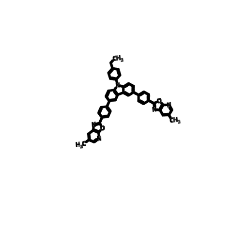 CCc1ccc(-n2c3ccc(-c4ccc(-c5nc6cc(C)cnc6o5)cc4)cc3c3cc(-c4ccc(-c5nc6cc(C)cnc6o5)cc4)ccc32)cc1